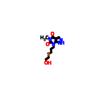 Cn1c(=O)c2cn[nH]c2n(CCCSCCO)c1=O